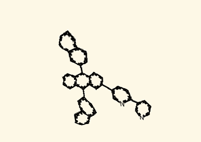 c1cncc(-c2ccc(-c3ccc4c(-c5ccc6ccccc6c5)c5ccccc5c(-c5ccc6ccccc6c5)c4c3)cn2)c1